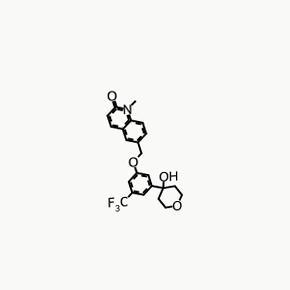 Cn1c(=O)ccc2cc(COc3cc(C(F)(F)F)cc(C4(O)CCOCC4)c3)ccc21